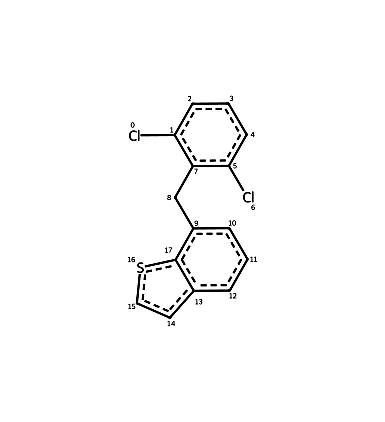 Clc1cccc(Cl)c1Cc1cccc2ccsc12